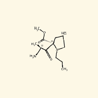 CCCN1CCC[C@]1(C(=O)OC)C(=O)[C@H](C)N.Cl